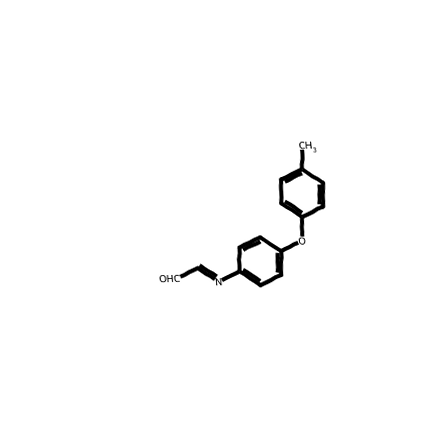 Cc1ccc(Oc2ccc(N=CC=O)cc2)cc1